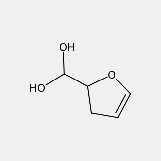 OC(O)C1CC=CO1